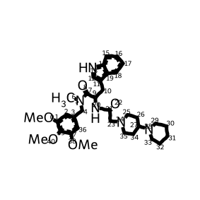 COc1cc(CN(C)C(=O)C(Cc2c[nH]c3ccccc23)NC(=O)CN2CCC(N3CCCCC3)CC2)cc(OC)c1OC